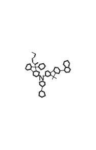 C=C(/C=C\C=C/C)C1(c2ccccc2)c2ccccc2-c2ccc(N(c3ccc(-c4ccccc4)cc3)c3ccc4c(c3)C(C)(C)c3cc(-c5cccc6ccccc56)ccc3-4)cc21